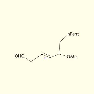 CCCCCCC(/C=C/CC=O)OC